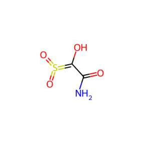 NC(=O)C(O)=S(=O)=O